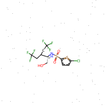 O=S(=O)(N[C@H](CO)C(CC(F)(F)F)CC(F)(F)F)c1ccc(Cl)s1